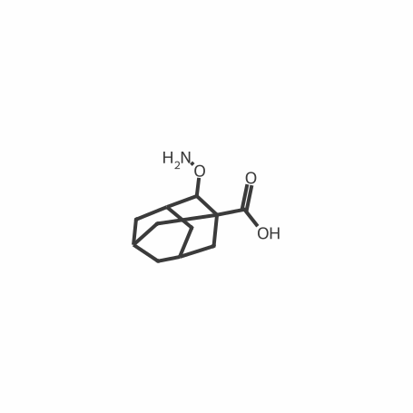 NOC1C2CC3CC(C2)CC1(C(=O)O)C3